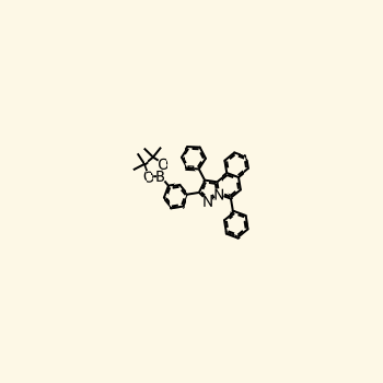 CC1(C)OB(c2cccc(-c3nn4c(-c5ccccc5)cc5ccccc5c4c3-c3ccccc3)c2)OC1(C)C